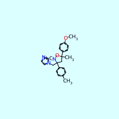 COc1ccc(C2(C)CC(Cn3ccnc3)(c3ccc(C)cc3)N(C)O2)cc1